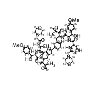 COc1ccc(C(O)C(NC(=O)C(C)NC(=O)CN2CCOCC2)C(=O)NC(CC2=CCC(C3CCC=C(CC(NC(=O)C(NC(=O)C(CO)NC(=O)CN4CCOCC4)C(O)c4ccc(OC)cc4)C(=O)C4(C)CO4)C3)C2)C(=O)C2(C)CO2)cc1